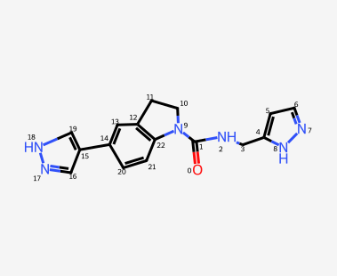 O=C(NCc1ccn[nH]1)N1CCc2cc(-c3cn[nH]c3)ccc21